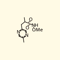 CONS(=O)(=O)C(C)Cc1cnc(C)cn1